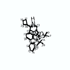 CC(C)(C)OC(=O)N1C2CC3CC1(CNC3C1CCC1)C[C@H]2O[Si](c1ccccc1)(c1ccccc1)C(C)(C)C